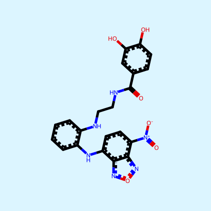 O=C(NCCNc1ccccc1Nc1ccc([N+](=O)[O-])c2nonc12)c1ccc(O)c(O)c1